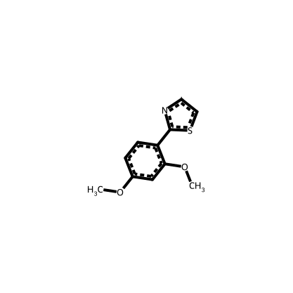 COc1ccc(-c2n[c]cs2)c(OC)c1